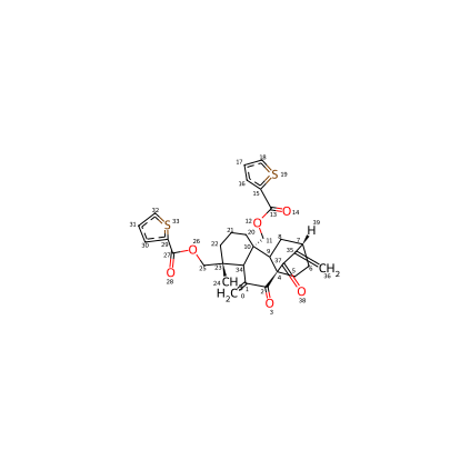 C=C1C(=O)[C@@]23CC[C@@H](CC2[C@]2(COC(=O)c4cccs4)CCC[C@@](C)(COC(=O)c4cccs4)C12)C(=C)C3=O